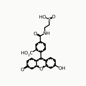 O=C(NCCS(=O)O)c1ccc(-c2c3ccc(=O)cc-3oc3cc(O)ccc23)c(C(=O)O)c1